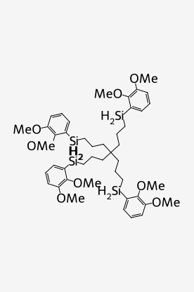 COc1cccc([SiH2]CCCC(CCC[SiH2]c2cccc(OC)c2OC)(CCC[SiH2]c2cccc(OC)c2OC)CCC[SiH2]c2cccc(OC)c2OC)c1OC